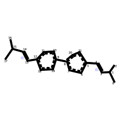 CC(C)/C=C/c1ccc(-c2ccc(/C=C/C(C)C)cc2)cc1